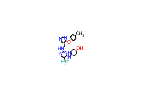 Cc1ccc(Oc2ncncc2CNc2ncc(C(F)(F)F)c(NC3CCC(O)CC3)n2)cc1